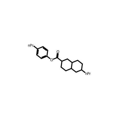 CCCc1ccc(OC(=O)C2CCC3CC(CCC)CCC3C2)cc1